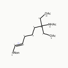 CCCCCCCCC/C=C/CCCC(COC(C)=O)(COC(C)=O)NC(C)=O